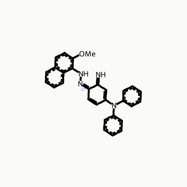 COc1ccc2ccccc2c1N/N=C1/C=CC(N(c2ccccc2)c2ccccc2)=CC1=N